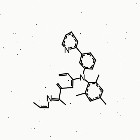 C=C/C(=C\C(=C)/C(C)=N/C=C\C)N(c1cccc(-c2ccccn2)c1)c1c(C)cc(C)cc1C